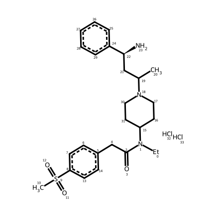 CCN(C(=O)Cc1ccc(S(C)(=O)=O)cc1)C1CCN(C(C)C[C@H](N)c2ccccc2)CC1.Cl.Cl